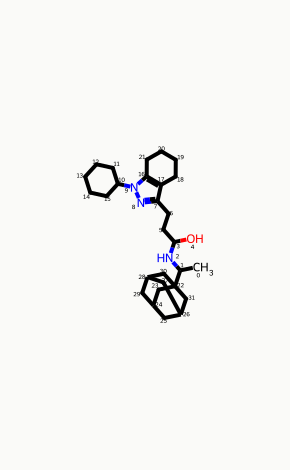 CC(NC(O)CCc1nn(C2CCCCC2)c2c1CCCC2)C12CC3CC(CC(C3)C1)C2